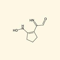 N=C(C=O)C1=C(NO)CCC1